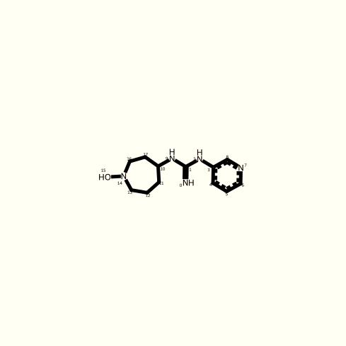 N=C(Nc1cccnc1)NC1CCCN(O)CC1